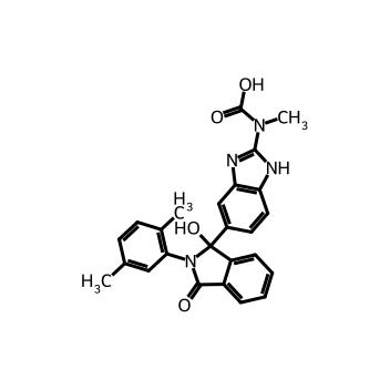 Cc1ccc(C)c(N2C(=O)c3ccccc3C2(O)c2ccc3[nH]c(N(C)C(=O)O)nc3c2)c1